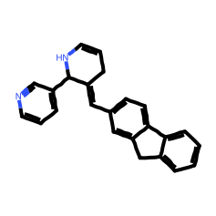 C1=CNC(c2cccnc2)C(=Cc2ccc3c(c2)Cc2ccccc2-3)C1